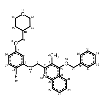 Cc1c(COc2cc(OCC3CCOCC3)ccc2F)nc2ccccc2c1OCc1ccccc1